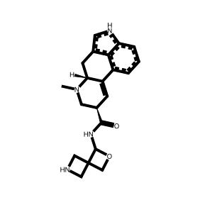 CN1C[C@H](C(=O)NC2OCC23CNC3)C=C2c3cccc4[nH]cc(c34)C[C@H]21